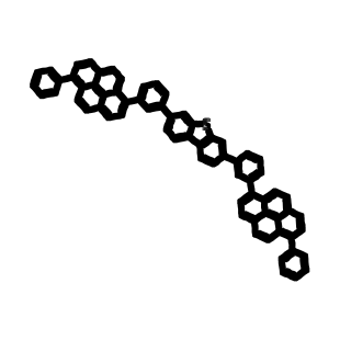 c1ccc(-c2ccc3ccc4c(-c5cccc(-c6ccc7c(c6)sc6cc(-c8cccc(-c9ccc%10ccc%11c(-c%12ccccc%12)ccc%12ccc9c%10c%12%11)c8)ccc67)c5)ccc5ccc2c3c54)cc1